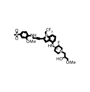 COC[C@@H](O)CN1CC[C@@H](Nc2cccc3c2cc(C#CCNc2ccc(S(C)(=O)=O)cc2OC)n3CC(F)(F)F)[C@H](F)C1